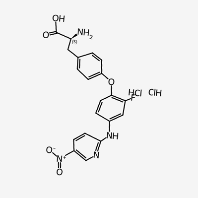 Cl.Cl.N[C@@H](Cc1ccc(Oc2ccc(Nc3ccc([N+](=O)[O-])cn3)cc2F)cc1)C(=O)O